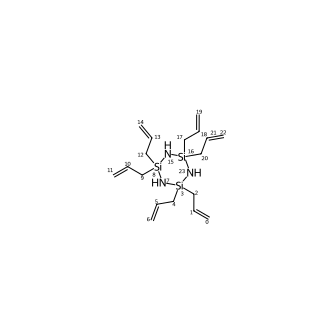 C=CC[Si]1(CC=C)N[Si](CC=C)(CC=C)N[Si](CC=C)(CC=C)N1